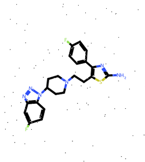 Nc1nc(-c2ccc(F)cc2)c(CCN2CCC(n3nnc4cc(F)ccc43)CC2)s1